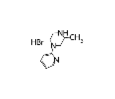 Br.CC1CN(c2ccccn2)CCN1